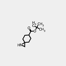 CC(C)(C)OC(=O)C1CCC2(CC1)CN2